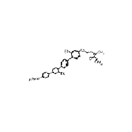 C=CC(=O)N(C)CCOc1ccc(-c2ccc(-c3ccc(-c4ccc(CCCCC)cc4)cc3CC)cc2)c(CC)c1